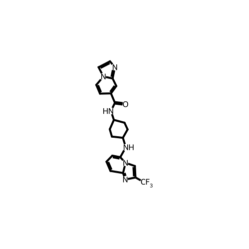 O=C(NC1CCC(Nc2cccc3nc(C(F)(F)F)cn23)CC1)c1ccn2ccnc2c1